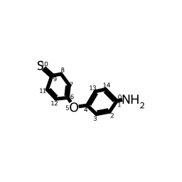 Nc1ccc(OC2=CCC(=S)C=C2)cc1